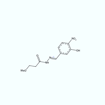 COCCC(=O)N/N=C/c1ccc([N+](=O)[O-])c(O)c1